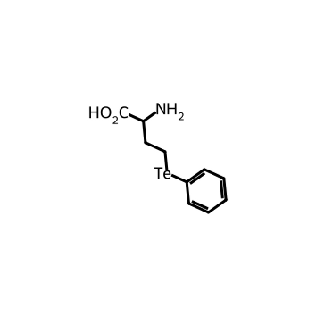 NC(CC[Te]c1ccccc1)C(=O)O